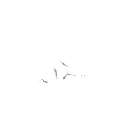 C/C=C/c1cc(OC)cc(OC)c1C#N